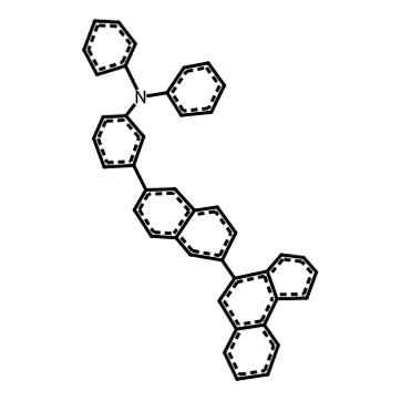 c1ccc(N(c2ccccc2)c2cccc(-c3ccc4cc(-c5cc6ccccc6c6ccccc56)ccc4c3)c2)cc1